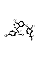 CS(N=O)(C(=O)c1cc(Oc2ccc(C(F)(F)F)cc2Cl)ccc1[N+](=O)[O-])c1ccc(Cl)cc1